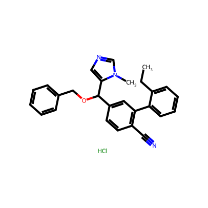 CCc1ccccc1-c1cc(C(OCc2ccccc2)c2cncn2C)ccc1C#N.Cl